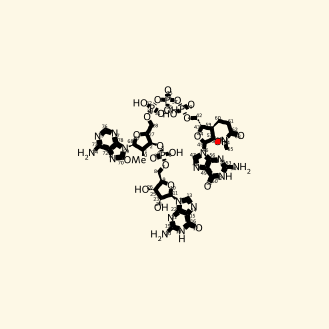 CO[C@@H]1[C@H](OP(=O)(O)OC[C@H]2O[C@@H](n3cnc4c(=O)[nH]c(N)nc43)[C@H](O)[C@@H]2O)C(COP(=O)(O)OP(=O)(O)OP(=O)(O)OC[C@H]2OC(n3cnc4c(=O)[nH]c(N)nc43)[C@H](O)[C@@H]2CCC(=O)N(C)C)O[C@H]1n1cnc2c(N)ncnc21